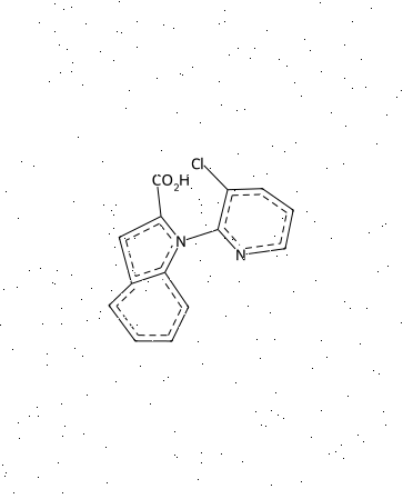 O=C(O)c1cc2ccccc2n1-c1ncccc1Cl